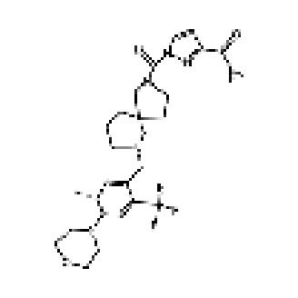 CNC(=O)c1ccn(C(=O)N2CCC3(CCCN(CC4=C[C@@H](C)C(N5CCOCC5)C=C4C(F)(F)F)C3)C2)n1